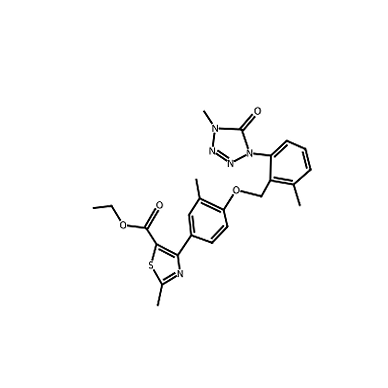 CCOC(=O)c1sc(C)nc1-c1ccc(OCc2c(C)cccc2-n2nnn(C)c2=O)c(C)c1